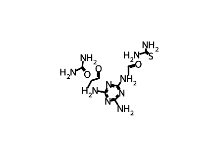 CC=O.CCC=O.NC(N)=O.NC(N)=S.Nc1nc(N)nc(N)n1